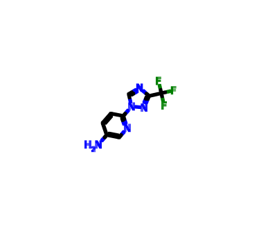 Nc1ccc(-n2cnc(C(F)(F)F)n2)nc1